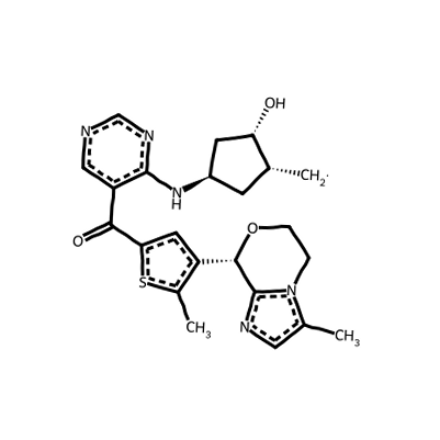 [CH2][C@@H]1C[C@@H](Nc2ncncc2C(=O)c2cc([C@@H]3OCCn4c(C)cnc43)c(C)s2)C[C@@H]1O